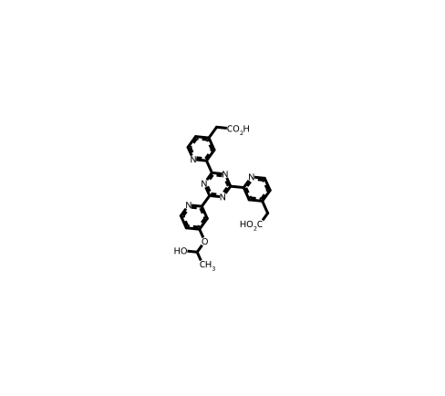 CC(O)Oc1ccnc(-c2nc(-c3cc(CC(=O)O)ccn3)nc(-c3cc(CC(=O)O)ccn3)n2)c1